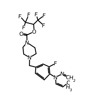 C=NN(/C=C\C)c1ccc(CN2CCN(C(=O)OC(C(F)(F)F)C(F)(F)F)CC2)cc1F